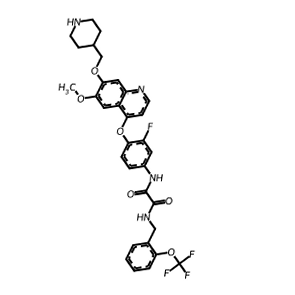 COc1cc2c(Oc3ccc(NC(=O)C(=O)NCc4ccccc4OC(F)(F)F)cc3F)ccnc2cc1OCC1CCNCC1